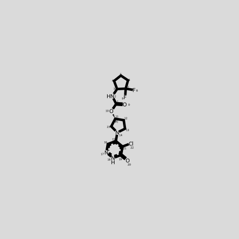 O=C(NC1CCCC1(F)F)O[C@@H]1CCN(c2cn[nH]c(=O)c2Cl)C1